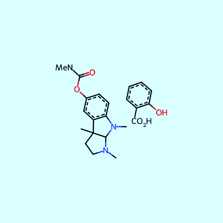 CNC(=O)Oc1ccc2c(c1)C1(C)CCN(C)C1N2C.O=C(O)c1ccccc1O